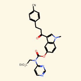 CCOC(=O)CN(C(=O)Oc1ccc2c(c1)c(C(=O)CCc1ccc(C#N)cc1)cn2C)c1ccncn1